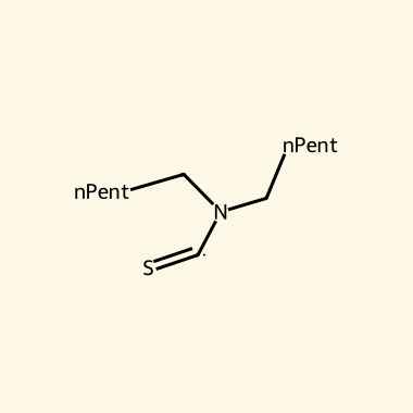 CCCCCCN([C]=S)CCCCCC